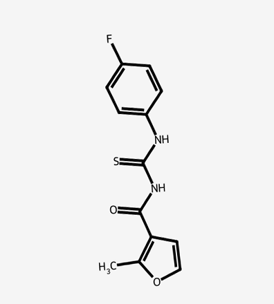 Cc1occc1C(=O)NC(=S)Nc1ccc(F)cc1